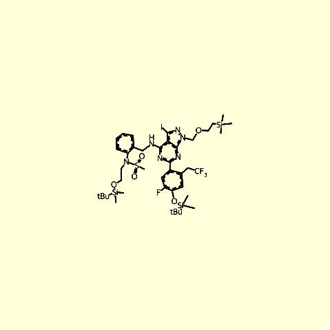 CC(C)(C)[Si](C)(C)OCCN(c1ccccc1CNc1nc(-c2cc(F)c(O[Si](C)(C)C(C)(C)C)cc2CC(F)(F)F)nc2c1c(I)nn2COCC[Si](C)(C)C)S(C)(=O)=O